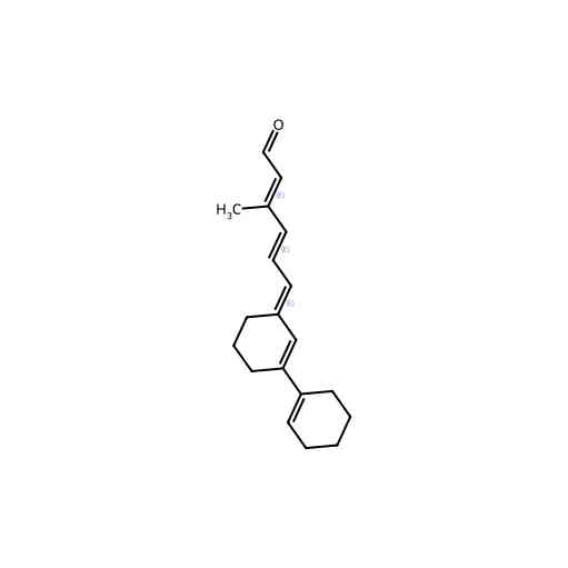 CC(/C=C/C=C1/C=C(C2=CCCCC2)CCC1)=C\C=O